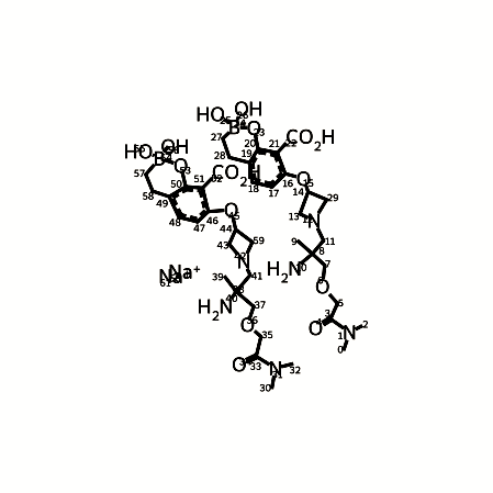 CN(C)C(=O)COCC(C)(N)CN1CC(Oc2ccc3c(c2C(=O)O)O[B-](O)(O)CC3)C1.CN(C)C(=O)COCC(C)(N)CN1CC(Oc2ccc3c(c2C(=O)O)O[B-](O)(O)CC3)C1.[Na+].[Na+]